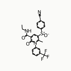 CCNC(=O)c1cc([S+]([O-])c2ccc(C#N)cc2)c(C)n(-c2cccc(C(F)(F)F)c2)c1=O